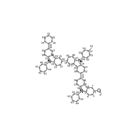 COc1ccc2c(c1)c1cc(-c3ccc4c(c3)c3cc(-c5ccc6c(c5)c5cc(-c7ccccc7)ccc5n6-c5ccccc5)ccc3n4-c3ccc(C)cc3)ccc1n2-c1ccccc1